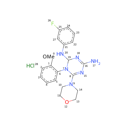 COc1ccccc1N1C(N2CCOCC2)=NC(N)=NC1Nc1cccc(F)c1.Cl